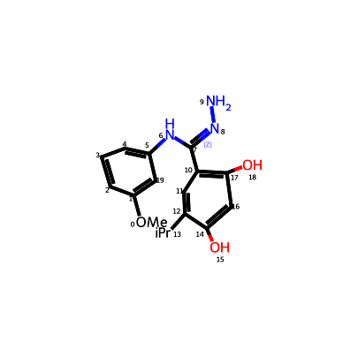 COc1cccc(N/C(=N\N)c2cc(C(C)C)c(O)cc2O)c1